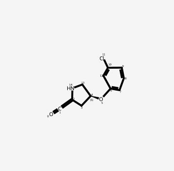 O=C=C1C[C@H](Oc2cccc(Cl)c2)CN1